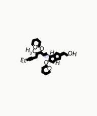 CCC#CC[C@H](C)[C@@H](/C=C/[C@@H]1[C@H]2CC(=CCO)C[C@H]2C[C@H]1OC1CCCCO1)OC1CCCCO1